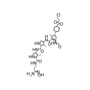 Cc1c(NC(=O)c2[nH]cc(NC(=O)c3c(C)c(-c4ccc(S(=O)(=O)CCCl)cc4)cn3NC=O)c2C)c[nH]c1C(=O)NCCC(N)=NO